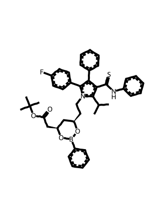 CC(C)c1c(C(=S)Nc2ccccc2)c(-c2ccccc2)c(-c2ccc(F)cc2)n1CC[C@@H]1C[C@H](CC(=O)OC(C)(C)C)OB(c2ccccc2)O1